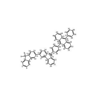 CC1(C)c2ccccc2-c2cc(-c3ccc4c(c3)c3ccccc3n4-c3ccc(-c4c5ccccc5c(-c5ccccc5)c5ccccc45)cc3)ccc21